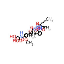 CCCCCC(C(=O)NCNC(=O)c1ccc(-c2ccc(C(=O)NC(CC(=O)O)C(=O)O)c(OCC)c2)o1)C(CC)N(C=O)OC(=O)c1ccccc1C(C)C